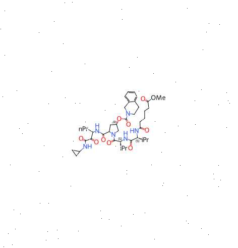 CCCC(NC(=O)C1C[C@@H](OC(=O)N2CCc3ccccc3C2)CN1C(=O)[C@@H](NC(=O)[C@@H](NC(=O)CCCCC(=O)OC)C(C)C)C(C)C)C(=O)C(=O)NC1CC1